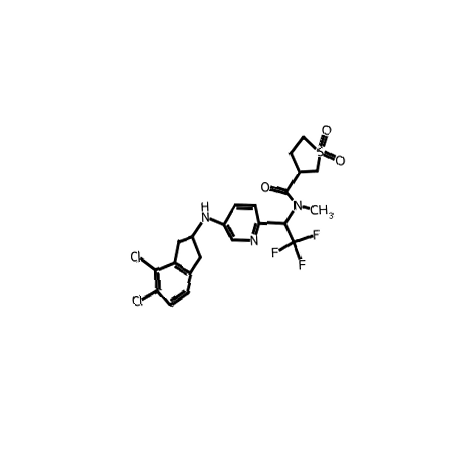 CN(C(=O)C1CCS(=O)(=O)C1)C(c1ccc(NC2Cc3ccc(Cl)c(Cl)c3C2)cn1)C(F)(F)F